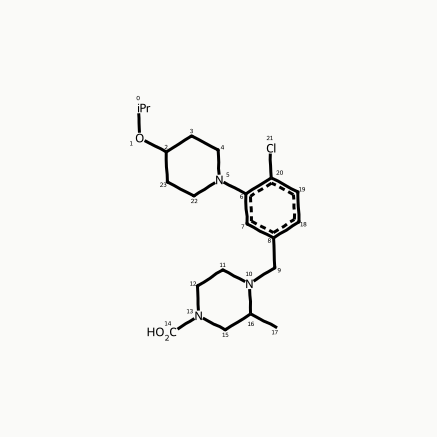 CC(C)OC1CCN(c2cc(CN3CCN(C(=O)O)CC3C)ccc2Cl)CC1